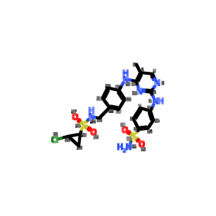 Cc1cnc(Nc2ccc(S(N)(=O)=O)cc2)nc1Nc1ccc(CNS(=O)(=O)C2CC2Cl)cc1